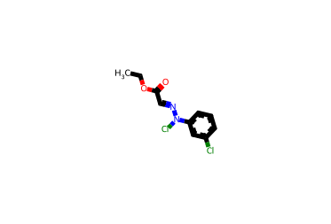 CCOC(=O)C=NN(Cl)c1cccc(Cl)c1